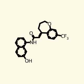 O=C(C=C1CCCOc2cc(C(F)(F)F)ccc21)Nc1cccc2ccc(O)cc12